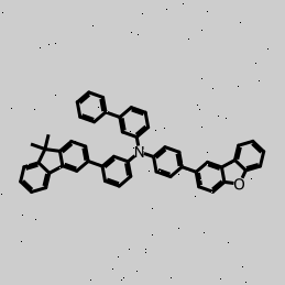 CC1(C)c2ccccc2-c2cc(-c3cccc(N(c4ccc(-c5ccc6oc7ccccc7c6c5)cc4)c4cccc(-c5ccccc5)c4)c3)ccc21